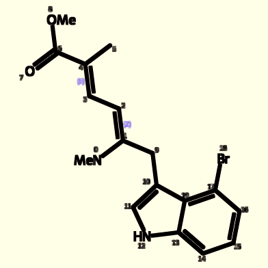 CN/C(=C\C=C(/C)C(=O)OC)Cc1c[nH]c2cccc(Br)c12